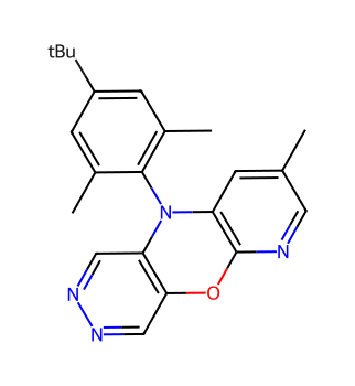 Cc1cnc2c(c1)N(c1c(C)cc(C(C)(C)C)cc1C)c1cnncc1O2